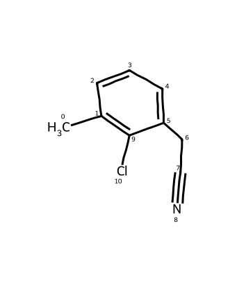 Cc1cccc(CC#N)c1Cl